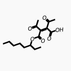 CCCCCC(CC)OC(=O)C(C(C)=O)=C(C(C)=O)C(=O)O